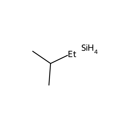 CCC(C)C.[SiH4]